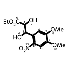 CCOC(=O)C(O)C(O)c1cc(OC)c(OC)cc1[N+](=O)[O-]